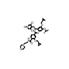 O=C(O[C@@H](Cc1c(Cl)c[n+]([O-])cc1Cl)c1ccc(OC(F)F)c(OCC2CC2)c1)c1ccc(C(=O)NCCN2CCOCC2)c(OCC2CC2)c1